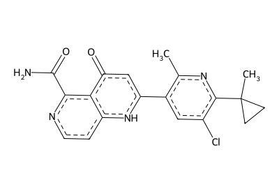 Cc1nc(C2(C)CC2)c(Cl)cc1-c1cc(=O)c2c(C(N)=O)nccc2[nH]1